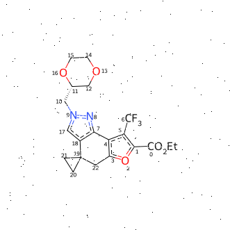 CCOC(=O)c1oc2c(c1C(F)(F)F)-c1nn(C[C@H]3COCCO3)cc1C1(CC1)C2